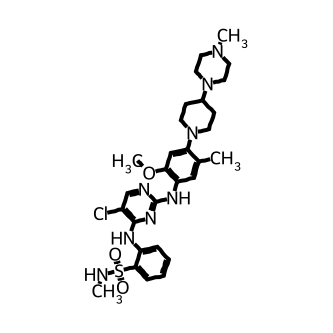 CNS(=O)(=O)c1ccccc1Nc1nc(Nc2cc(C)c(N3CCC(N4CCN(C)CC4)CC3)cc2OC)ncc1Cl